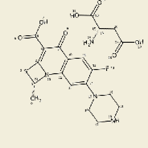 C[C@@H]1Sc2c(C(=O)O)c(=O)c3cc(F)c(N4CCNCC4)cc3n21.N[C@@H](CC(=O)O)C(=O)O